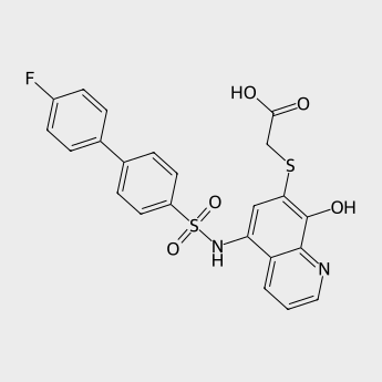 O=C(O)CSc1cc(NS(=O)(=O)c2ccc(-c3ccc(F)cc3)cc2)c2cccnc2c1O